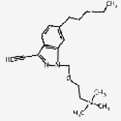 C#Cc1nn(COCC[Si](C)(C)C)c2cc(CCCCC)ccc12